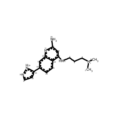 CN(C)CCCNc1cc(N)nc2cc(-c3ccn[nH]3)ccc12